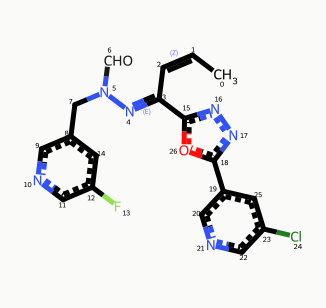 C/C=C\C(=N/N(C=O)Cc1cncc(F)c1)c1nnc(-c2cncc(Cl)c2)o1